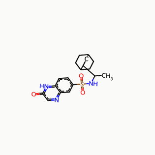 CC(NS(=O)(=O)c1ccc2[nH]c(=O)cnc2c1)C1CC2CCC1CC2